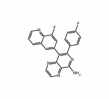 Nc1nc(-c2ccc(F)cc2)c(-c2cc(F)c3ncccc3c2)c2nccnc12